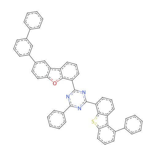 c1ccc(-c2cccc(-c3ccc4oc5c(-c6nc(-c7ccccc7)nc(-c7cccc8c7sc7cccc(-c9ccccc9)c78)n6)cccc5c4c3)c2)cc1